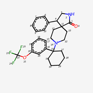 O=C1NCC(c2ccccc2)C12CCN(C1(c3cccc(OC(F)(F)F)c3)CCCCC1)CC2